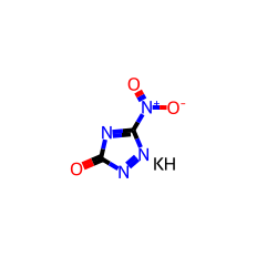 O=C1N=NC([N+](=O)[O-])=N1.[KH]